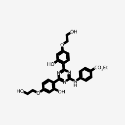 CCOC(=O)c1ccc(Nc2nc(-c3ccc(OCCO)cc3O)nc(-c3ccc(OCCO)cc3O)n2)cc1